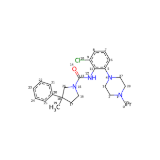 CC(C)N1CCN(c2cccc(Cl)c2NC(=O)N2CCC(C)(c3ccccc3)C2)CC1